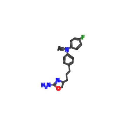 CC(=O)N(c1ccc(F)cc1)c1ccc(CCCC2COC(N)=N2)cc1